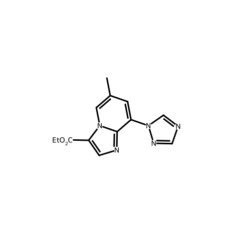 CCOC(=O)c1cnc2c(-n3cncn3)cc(C)cn12